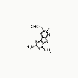 Cc1nc2sc3c(N)nc(N)nc3c2cc1CC=O